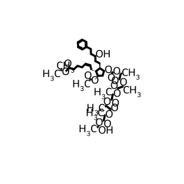 CC(=O)O[C@H]1C[C@@H](OC(=O)OC(C)C(=O)OC(C)C(=O)OC(C)C(=O)OC(C)C(=O)OC(C)C(=O)OC(C)O)[C@H](CC[C@@H](O)CCc2ccccc2)[C@H]1C/C=C\CCCC(=O)OC(C)C